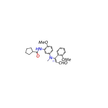 COc1ccc(N(C)/C(=C/C=O)c2ccccc2OC)cc1NC(=O)C1CCCC1